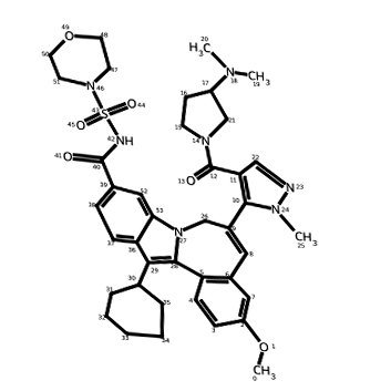 COc1ccc2c(c1)C=C(c1c(C(=O)N3CCC(N(C)C)C3)cnn1C)Cn1c-2c(C2CCCCC2)c2ccc(C(=O)NS(=O)(=O)N3CCOCC3)cc21